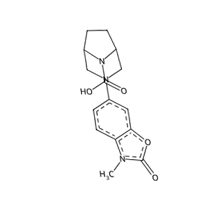 Cn1c(=O)oc2cc(N3CC4CCC(C3)N4C(=O)O)ccc21